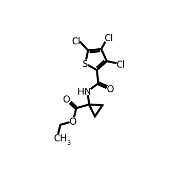 CCOC(=O)C1(NC(=O)c2sc(Cl)c(Cl)c2Cl)CC1